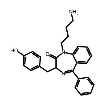 NCCCCN1C(=O)C(Cc2ccc(O)cc2)N=C(c2ccccc2)c2ccccc21